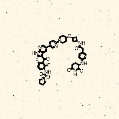 O=C1CCC(Nc2ccc(CC(=O)N[C@H]3C[C@H](OC4CCN(c5ccc(-c6cnc7[nH]cc(C(=O)c8c(F)ccc(NS(=O)(=O)N9CCCC9)c8F)c7c6)cn5)CC4)C3)cc2)C(=O)N1